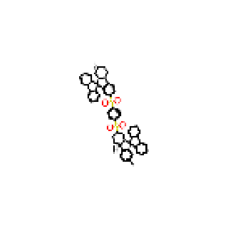 Cc1ccc2c(c1)C1(c3ccccc3-c3ccccc31)C1CC(S(=O)(=O)c3c#cc(S(=O)(=O)c4ccc5c(c4)C4(c6ccccc6C6C=CC=CC64)C4C[C@H](C)CCC54)cc3)CC[C@H]21